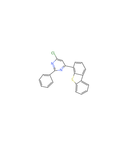 Clc1cc(-c2cccc3c2sc2ccccc23)nc(-c2ccccc2)n1